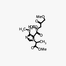 COCC(=O)CN(C)C(=O)c1c(N(C)C=O)ncn1C(C)C(=O)OC